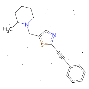 CC1CCCCN1Cc1cnc(C#Cc2ccccc2)s1